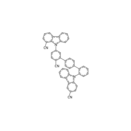 N#Cc1ccc2c(c1)c1ccccc1n2-c1ccccc1-c1ccc(-c2cc(-n3c4ccccc4c4cccc(C#N)c43)ccc2C#N)cc1